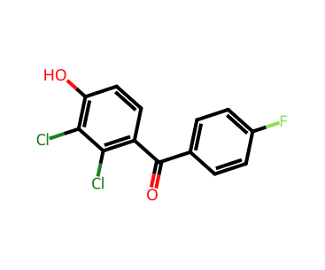 O=C(c1ccc(F)cc1)c1ccc(O)c(Cl)c1Cl